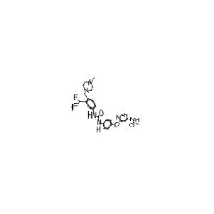 CC(=O)Nc1cc(Oc2ccc(NC(=O)Nc3ccc(CN4CCN(C)CC4)c(C(F)F)c3)cc2)ncn1